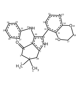 CC1(C)CC(=O)c2c([nH]c(-c3ccnc4c3OCCO4)c2Nc2ccccc2)C1